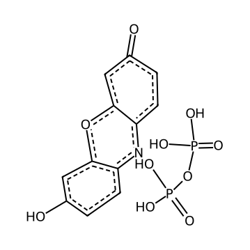 O=P(O)(O)OP(=O)(O)O.O=c1ccc2nc3ccc(O)cc3oc-2c1